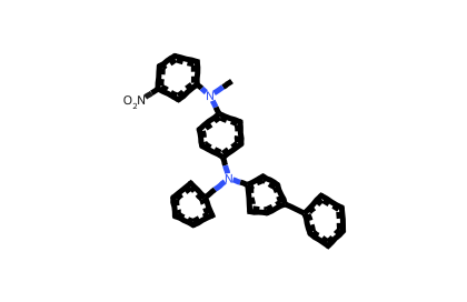 CN(c1ccc(N(c2ccccc2)c2ccc(-c3ccccc3)cc2)cc1)c1cccc([N+](=O)[O-])c1